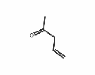 C=CCC(C)=O